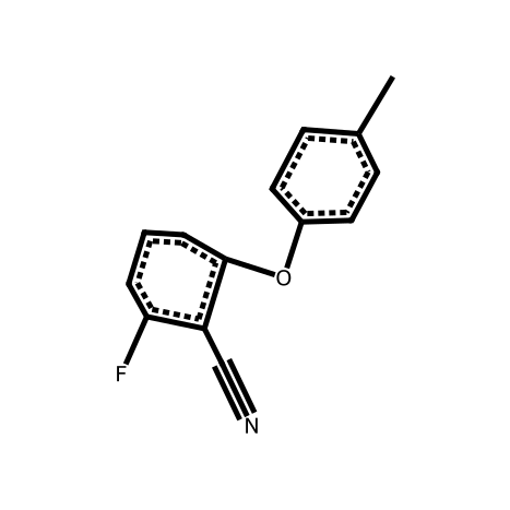 Cc1ccc(Oc2cccc(F)c2C#N)cc1